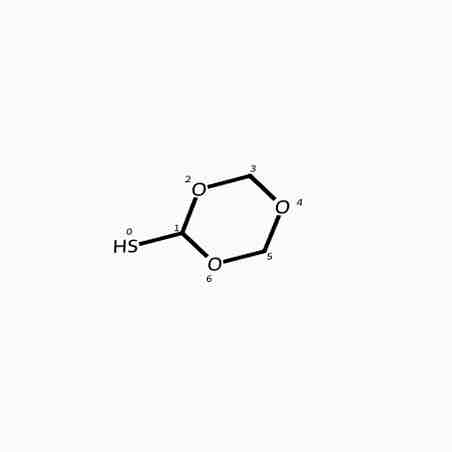 SC1OCOCO1